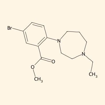 CCN1CCCN(c2ccc(Br)cc2C(=O)OC)CC1